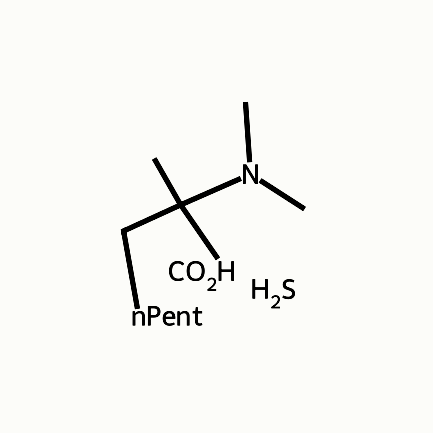 CCCCCCC(C)(C(=O)O)N(C)C.S